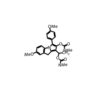 CNC(=O)Oc1c(C(C)OC(=O)NC)c2n(c1-c1ccc(OC)cc1)-c1ccc(OC)cc1C2